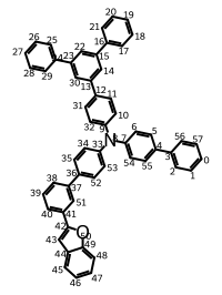 c1ccc(-c2ccc(N(c3ccc(-c4cc(-c5ccccc5)cc(-c5ccccc5)c4)cc3)c3ccc(-c4cccc(-c5cc6ccccc6o5)c4)cc3)cc2)cc1